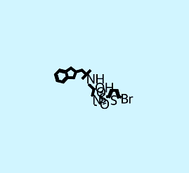 CN(C[C@H](O)CNC(C)(C)CC1Cc2ccccc2C1)S(=O)(=O)c1ccc(Br)s1